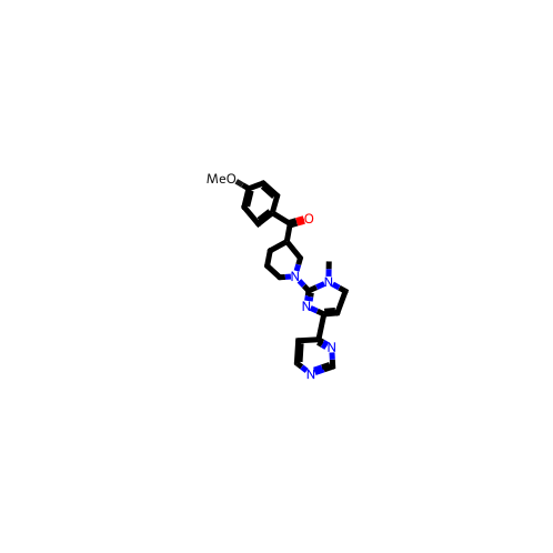 COc1ccc(C(=O)C2CCCN(C3=NC(c4ccncn4)=CCN3C)C2)cc1